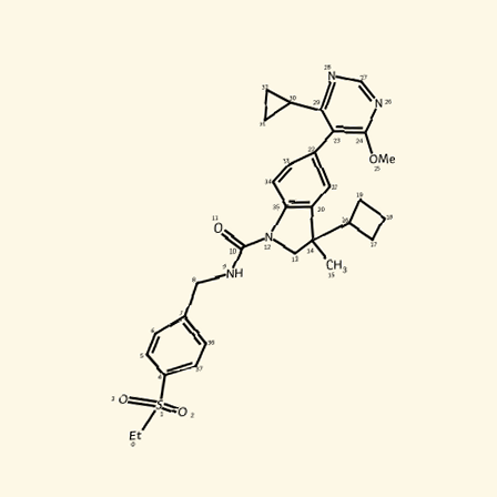 CCS(=O)(=O)c1ccc(CNC(=O)N2CC(C)(C3CCC3)c3cc(-c4c(OC)ncnc4C4CC4)ccc32)cc1